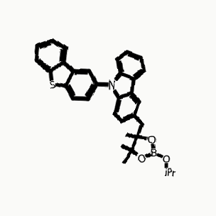 CC(C)OB1OC(C)(C)C(C)(Cc2ccc3c(c2)c2ccccc2n3-c2ccc3sc4ccccc4c3c2)O1